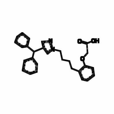 O=C(O)COc1ccccc1CCCCn1cc(C(c2ccccc2)c2ccccc2)cn1